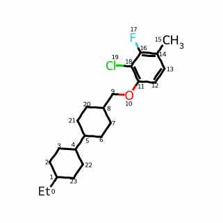 CCC1CCC(C2CCC(COc3ccc(C)c(F)c3Cl)CC2)CC1